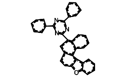 c1ccc(-c2nc(-c3ccccc3)nc(-c3cc4ccc5oc6ccccc6c5c4c4ccccc34)n2)cc1